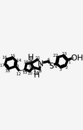 Oc1ccc(SCN2C[C@H]3C[C@H](Cc4ccccc4)C[C@H]3C2)cc1